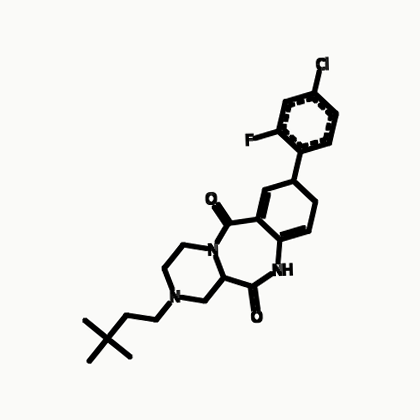 CC(C)(C)CCN1CCN2C(=O)C3=CC(c4ccc(Cl)cc4F)CC=C3NC(=O)C2C1